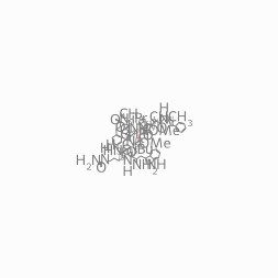 CC[C@H](C)[C@@H]([C@@H](CC(=O)N1CCC[C@H]1[C@H](OC)[C@@H](C)C(=O)N[C@H](C)Cc1ccccc1)OC)N(C)C(=O)[C@@H](NC(=O)[C@H](C(C)C)N(C)C(=O)OCc1ccc(NC(=O)[C@H](CCCNC(N)=O)NC(=O)C(N)Cc2c[nH]c3ccccc23)cc1)C(C)C